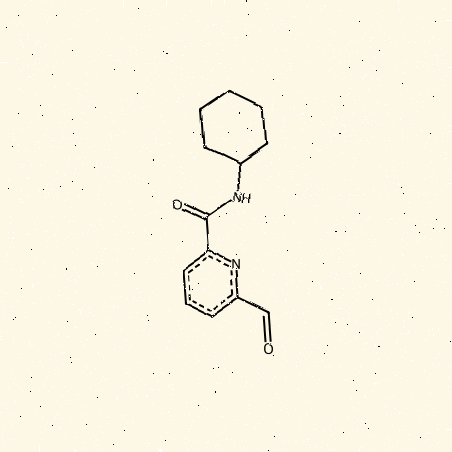 O=Cc1cccc(C(=O)NC2CCCCC2)n1